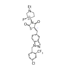 CCN1CC[C@@H](N2C(=O)S/C(=C\c3ccc4c(cnn4Cc4ccc(Cl)cc4C(F)(F)F)c3)C2=O)[C@@H](F)C1